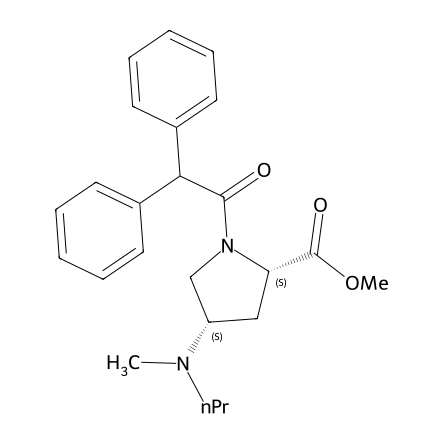 CCCN(C)[C@H]1C[C@@H](C(=O)OC)N(C(=O)C(c2ccccc2)c2ccccc2)C1